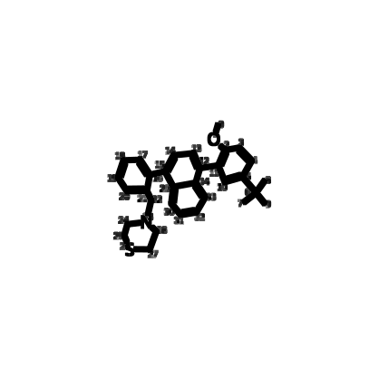 COc1ccc(C(C)(C)C)cc1-c1ccc(-c2ccccc2CN2CCSCC2)c2ccccc12